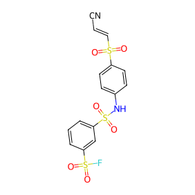 N#C/C=C/S(=O)(=O)c1ccc(NS(=O)(=O)c2cccc(S(=O)(=O)F)c2)cc1